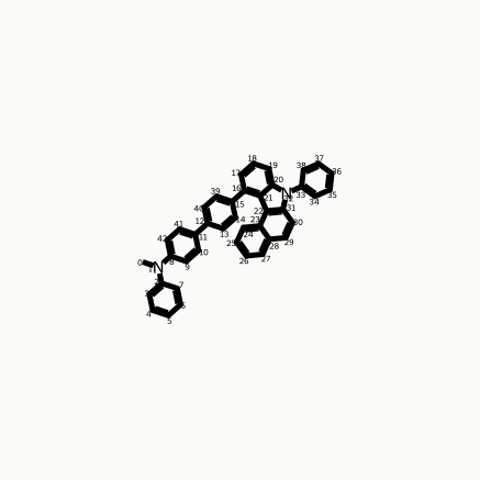 CN(c1ccccc1)c1ccc(-c2ccc(-c3cccc4c3c3c5ccccc5ccc3n4-c3ccccc3)cc2)cc1